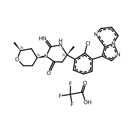 C[C@H]1C[C@@H](N2C(=N)N[C@](C)(c3cccc(-c4cnn5cccnc45)c3Cl)CC2=O)CCO1.O=C(O)C(F)(F)F